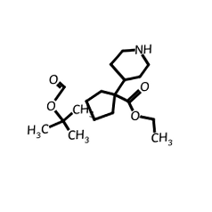 CC(C)(C)OC=O.CCOC(=O)C1(C2CCNCC2)CCCC1